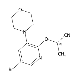 C[C@@H](C#N)Oc1ncc(Br)cc1N1CCOCC1